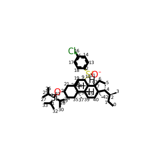 CC[C@H](C)[C@H]1CC[C@H]2[C@@H]3[C@@H]([S+]([O-])c4ccc(Cl)cc4)C=C4C[C@@H](O[Si](C(C)C)(C(C)C)C(C)C)CC[C@]4(C)[C@H]3CC[C@]12C